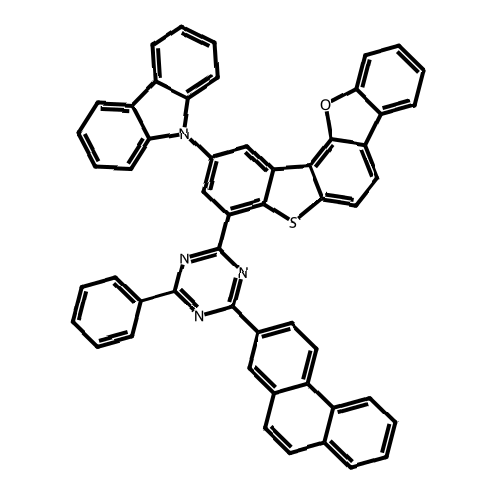 c1ccc(-c2nc(-c3ccc4c(ccc5ccccc54)c3)nc(-c3cc(-n4c5ccccc5c5ccccc54)cc4c3sc3ccc5c6ccccc6oc5c34)n2)cc1